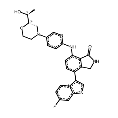 C[C@H](O)[C@@H]1CN(c2ccc(Nc3ccc(-c4cnc5cc(F)ccn45)c4c3C(=O)NC4)nc2)CCO1